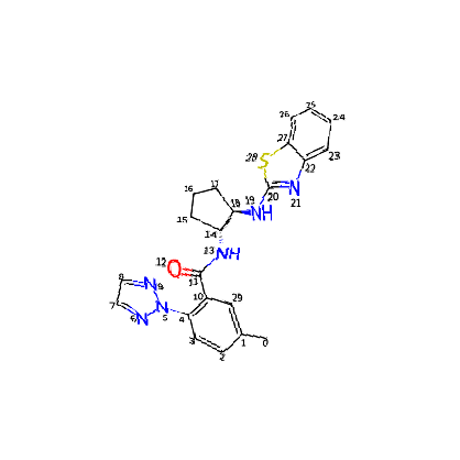 Cc1ccc(-n2nccn2)c(C(=O)N[C@@H]2CCC[C@H]2Nc2nc3ccccc3s2)c1